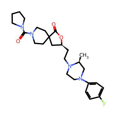 C[C@H]1CN(c2ccc(F)cc2)CCN1CC[C@H]1CC2(CCN(C(=O)N3CCCC3)CC2)C(=O)O1